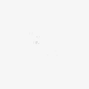 SONC1C=CC(Cl)=CC1